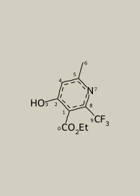 CCOC(=O)c1c(O)cc(C)nc1C(F)(F)F